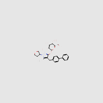 Cc1c(Cc2ccc(-c3ccccc3)cc2)c(O[C@@H]2O[C@H](CO)[C@@H](O)[C@H](O)[C@H]2O)nn1C1CCOC1